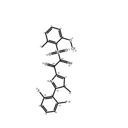 Cc1cccc(OC(F)(F)F)c1S(=O)(=O)C(=N)C(=O)C1=CC(C)C(c2c(F)cccc2F)=N1